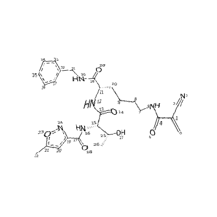 C=C(C#N)C(=O)NCCCC[C@H](NC(=O)[C@@H](NC(=O)c1cc(C)on1)[C@@H](C)O)C(=O)NCc1ccccc1